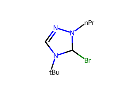 CCCN1N=CN(C(C)(C)C)C1Br